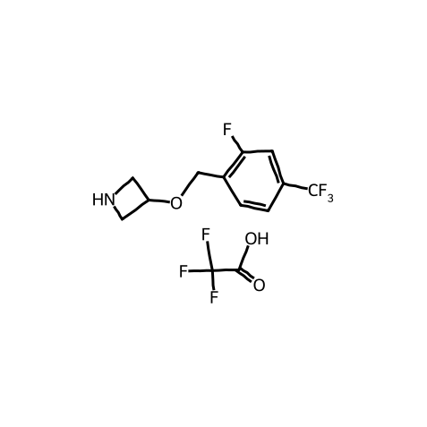 Fc1cc(C(F)(F)F)ccc1COC1CNC1.O=C(O)C(F)(F)F